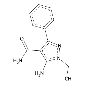 CCn1nc(-c2ccccc2)c(C(N)=O)c1N